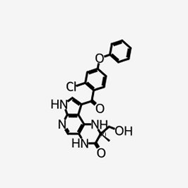 C[C@]1(CO)Nc2c(cnc3[nH]cc(C(=O)c4ccc(Oc5ccccc5)cc4Cl)c23)NC1=O